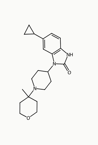 CC1(N2CCC(n3c(=O)[nH]c4ccc(C5CC5)cc43)CC2)CCOCC1